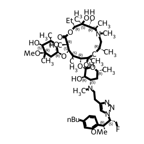 CCCCc1ccc([C@@H](OC)[C@@H](CF)n2cc(CCN(C)[C@H]3C[C@@H](C)O[C@@H](O[C@@H]4[C@@H](C)[C@H](O[C@H]5C[C@@](C)(OC)[C@@H](O)[C@H](C)O5)[C@@H](C)C(=O)O[C@H](CC)[C@@](C)(O)[C@H](O)[C@@H](C)N(C)C[C@H](C)C[C@@]4(C)O)[C@@H]3O)nn2)cc1